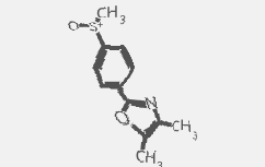 Cc1nc(-c2ccc([S+](C)[O-])cc2)oc1C